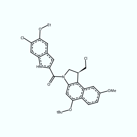 CCOc1cc2cc(C(=O)N3C[C@@H](CCl)c4c3cc(OC(C)(C)C)c3ccc(OC)cc43)[nH]c2cc1Cl